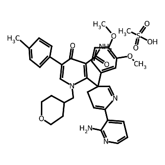 COc1ccc(C2(c3c(C(N)=O)c(=O)c(-c4ccc(C)cc4)cn3CC3CCOCC3)C=NC(c3cccnc3N)=CC2)cc1OC.CS(=O)(=O)O